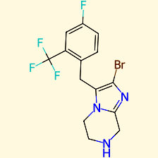 Fc1ccc(Cc2c(Br)nc3n2CCNC3)c(C(F)(F)F)c1